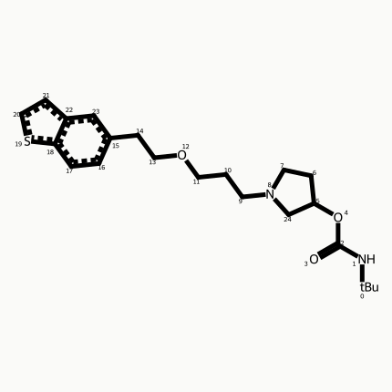 CC(C)(C)NC(=O)OC1CCN(CCCOCCc2ccc3sccc3c2)C1